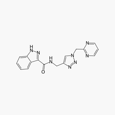 O=C(NCc1cn(Cc2ncccn2)nn1)c1n[nH]c2ccccc12